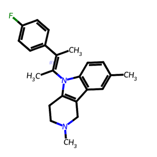 C/C(=C(/C)n1c2c(c3cc(C)ccc31)CN(C)CC2)c1ccc(F)cc1